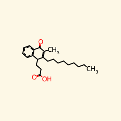 CCCCCCCCCC1=C(C)C(=O)c2ccccc2C1CCC(=O)O